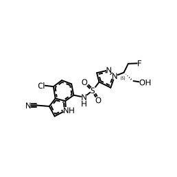 N#Cc1c[nH]c2c(NS(=O)(=O)c3cnn([C@@H](CO)CF)c3)ccc(Cl)c12